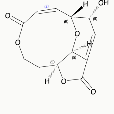 O=C1/C=C\[C@H]2O[C@H]3C(=C[C@H]2O)C(=O)O[C@H]3CCO1